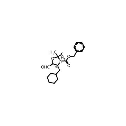 CC1(C)OC(C=O)[C@H](CC2CCCCC2)N1C(=O)OCc1ccccc1